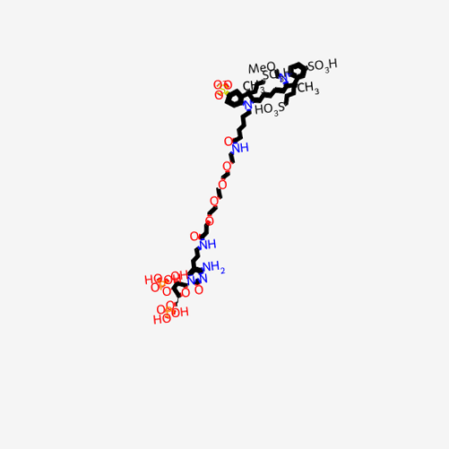 COCC[N+]1=C(/C=C/C=C/C=C2/N(CCCCCC(=O)NCCOCCOCCOCCOCCC(=O)NCCCc3cn([C@@H]4O[C@H](COP(=O)(O)O)[C@H](OP(=O)(O)O)C4O)c(=O)nc3N)c3ccc(S(=O)(=O)[O-])cc3C2(C)CCCS(=O)(=O)O)C(C)(CCCS(=O)(=O)O)c2cc(S(=O)(=O)O)ccc21